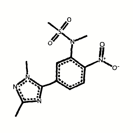 Cc1nc(-c2ccc([N+](=O)[O-])c(N(C)S(C)(=O)=O)c2)n(C)n1